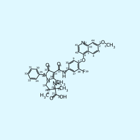 COc1ccc2c(Oc3ccc(NC(=O)c4c(C)n(C[C@@H](C)[C@](C)(N)C(=O)O)n(-c5ccccc5)c4=O)cc3F)ccnc2c1